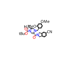 COc1ccc(CN2C[C@@H](C)N(C(=O)OC(C)(C)C)C[C@H]2C(=O)N2Cc3ccc(C#N)cc3C2)c(OC)c1